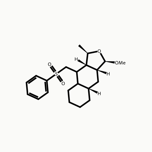 CO[C@@H]1O[C@H](C)[C@H]2C(CS(=O)(=O)c3ccccc3)C3CCCC[C@H]3C[C@@H]12